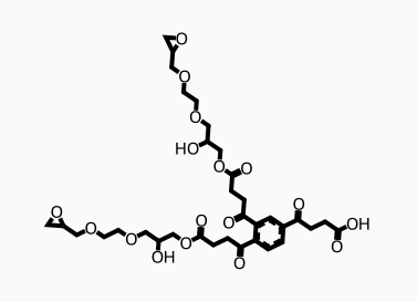 O=C(O)CCC(=O)c1ccc(C(=O)CCC(=O)OCC(O)COCCOCC2CO2)c(C(=O)CCC(=O)OCC(O)COCCOCC2CO2)c1